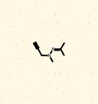 C#CCN(C)N=C(C)C